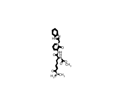 COC(=O)NC(CC/C=C/C(=O)N(C)C)C(=O)Nc1cccn(Cc2nc3ccccc3[nH]2)c1=O